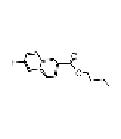 CCCCOC(=O)c1ccc2cc(F)ccc2c1